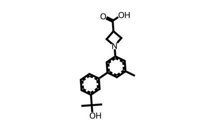 Cc1cc(-c2cccc(C(C)(C)O)c2)cc(N2CC(C(=O)O)C2)c1